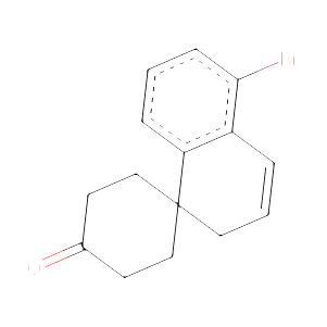 O=C1CCC2(CC=Cc3c(Br)cccc32)CC1